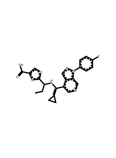 CCC(NC(=C1CC1)c1cncc2c1cnn2-c1ccc(F)cc1)c1nc(C(=O)O)co1